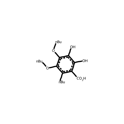 CCCCOc1c(O)c(O)c(C(=O)O)c(CCCC)c1OCCCC